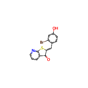 O=C1/C(=C/c2ccc(O)cc2Br)Sc2ncccc21